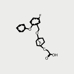 O=C(O)CCC12CCC(OCc3cc(F)ccc3Oc3ccccc3)(CC1)CC2